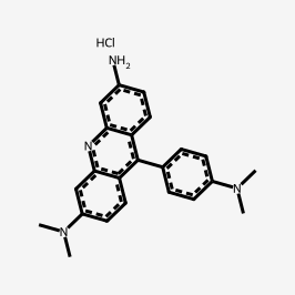 CN(C)c1ccc(-c2c3ccc(N)cc3nc3cc(N(C)C)ccc23)cc1.Cl